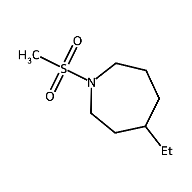 CCC1CCCN(S(C)(=O)=O)CC1